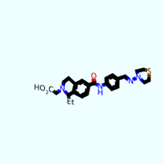 CCC1c2ccc(C(=O)Nc3ccc(C=NN4CCSCC4)cc3)cc2CCN1CC(=O)O